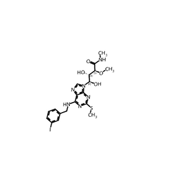 CNC(=O)[C@@H](OC)[C@@H](O)[C@@H](O)n1cnc2c(NCc3cccc(I)c3)nc(SC)nc21